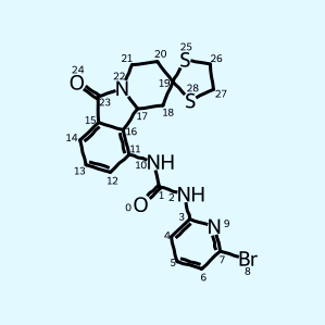 O=C(Nc1cccc(Br)n1)Nc1cccc2c1C1CC3(CCN1C2=O)SCCS3